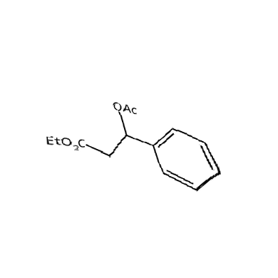 CCOC(=O)CC(OC(C)=O)c1ccccc1